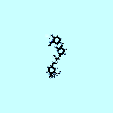 C/C=C1/C(N)CC=C[C@@H]1Cc1nc(OC(=O)OCc2ccc(O)c(OC)c2)ccc1C